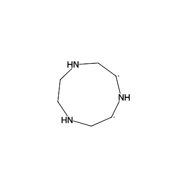 [CH]1CNCCNC[CH]N1